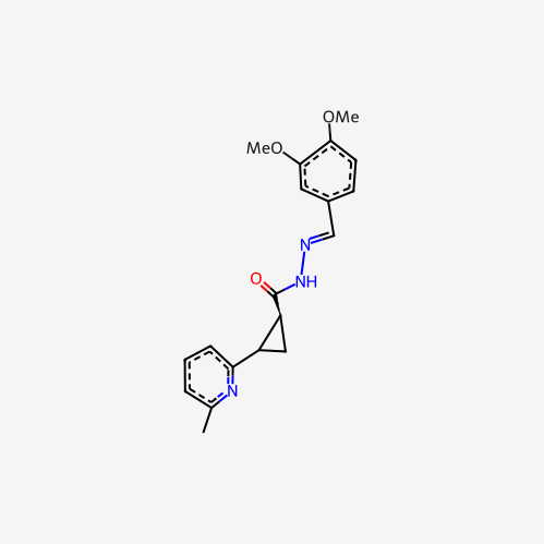 COc1ccc(C=NNC(=O)[C@H]2CC2c2cccc(C)n2)cc1OC